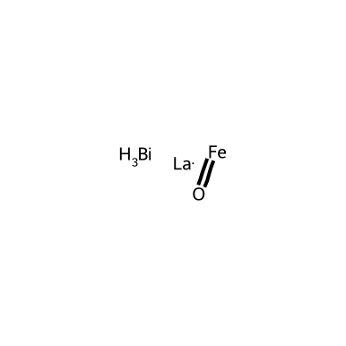 [BiH3].[La].[O]=[Fe]